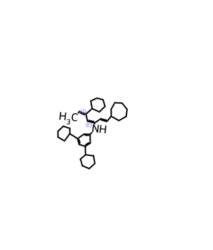 C/C=C(\C=C(/C=CC1CCCCCC1)Nc1cc(C2CCCCC2)cc(C2CCCCC2)c1)C1CCCCC1